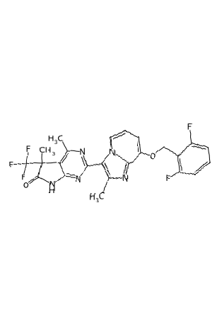 Cc1nc(-c2c(C)nc3c(OCc4c(F)cccc4F)cccn23)nc2c1C(C)(C(F)(F)F)C(=O)N2